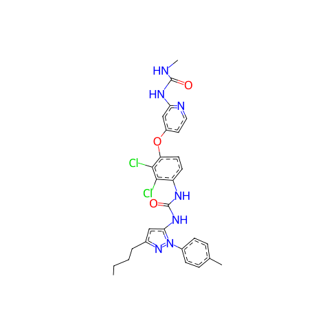 CCCCc1cc(NC(=O)Nc2ccc(Oc3ccnc(NC(=O)NC)c3)c(Cl)c2Cl)n(-c2ccc(C)cc2)n1